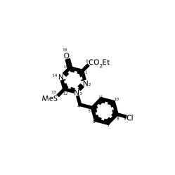 CCOC(=O)c1nn(Cc2ccc(Cl)cc2)c(SC)nc1=O